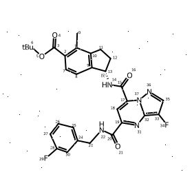 Cc1c(C(=O)OC(C)(C)C)ccc2c1CC[C@@H]2NC(=O)c1cc(C(=O)NCc2cccc(F)c2)nc2c(F)cnn12